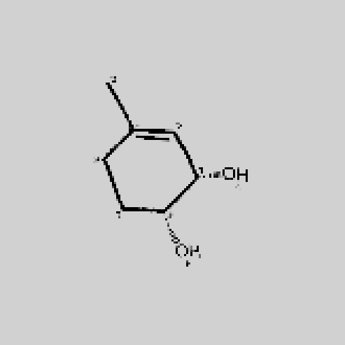 CC1=C[C@H](O)[C@H](O)CC1